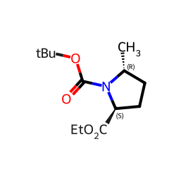 CCOC(=O)[C@@H]1CC[C@@H](C)N1C(=O)OC(C)(C)C